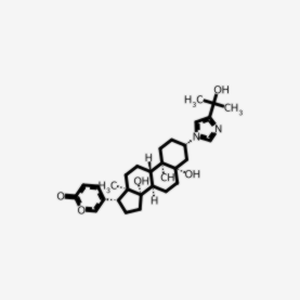 CC(C)(O)c1cn([C@H]2CC[C@]3(C)[C@H]4CC[C@]5(C)[C@@H](c6ccc(=O)oc6)CC[C@]5(O)[C@@H]4CC[C@]3(O)C2)cn1